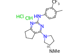 CN[C@H]1CCN(c2nc(Nc3ccc(C)c(C(F)(F)F)c3)nc3c2CCC3)C1.Cl.Cl